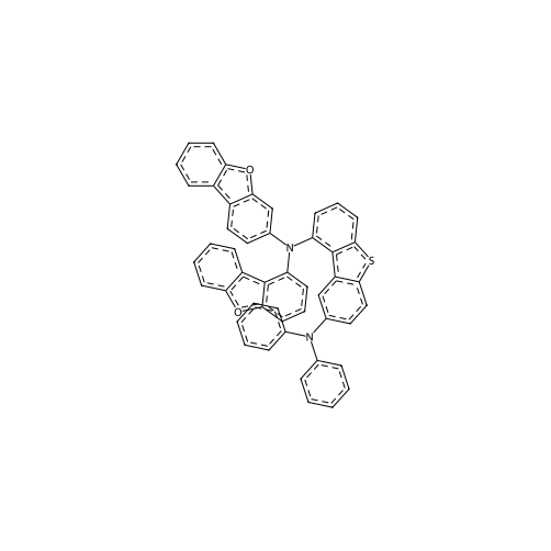 c1ccc(N(c2ccccc2)c2ccc3sc4cccc(N(c5ccc6c(c5)oc5ccccc56)c5cccc6oc7ccccc7c56)c4c3c2)cc1